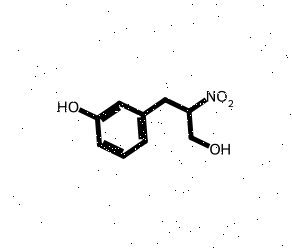 O=[N+]([O-])C(CO)Cc1cccc(O)c1